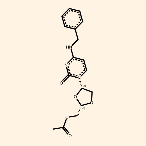 CC(=O)OC[C@H]1OC[C@@H](n2ccc(NCc3ccccc3)nc2=O)O1